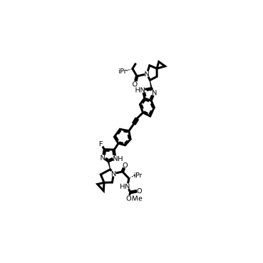 COC(=O)N[C@H](C(=O)N1CC2(CC2)C[C@H]1c1nc(F)c(-c2ccc(C#Cc3ccc4nc([C@@H]5CC6(CC6)CN5C(=O)[C@@H](C)C(C)C)[nH]c4c3)cc2)[nH]1)C(C)C